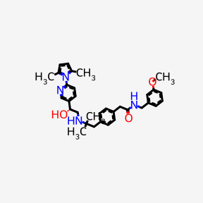 COc1cccc(CNC(=O)Cc2ccc(CC(C)(C)NC[C@H](O)c3ccc(-n4c(C)ccc4C)nc3)cc2)c1